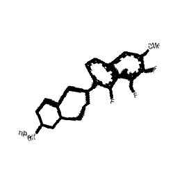 CCCCCC1CCC2CC(c3ccc4cc(OC)c(F)c(F)c4c3F)CCC2C1